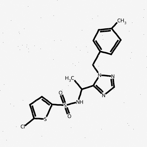 Cc1ccc(Cn2ncnc2C(C)NS(=O)(=O)c2ccc(Cl)s2)cc1